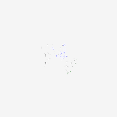 CC(C)[C@H](c1ccc(C(F)(F)F)cc1CNC1=NNN(C)N1Cc1cc(C(F)(F)F)cc(C(F)(F)F)c1)N1CCC(C#N)CC1